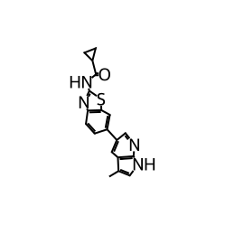 Cc1c[nH]c2ncc(-c3ccc4nc(NC(=O)C5CC5)sc4c3)cc12